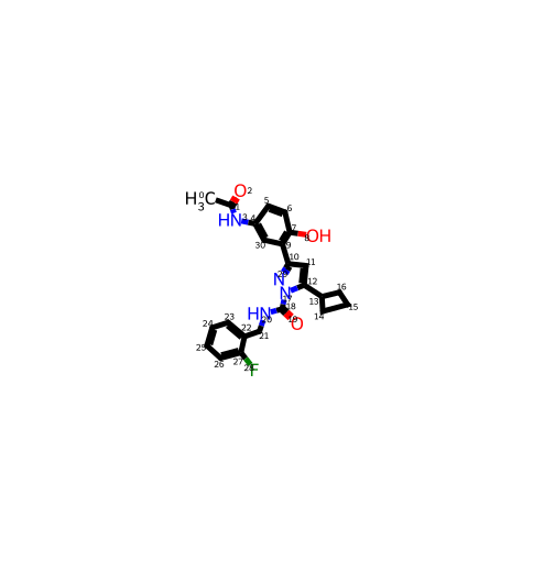 CC(=O)Nc1ccc(O)c(-c2cc(C3CCC3)n(C(=O)NCc3ccccc3F)n2)c1